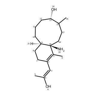 CC1=C(/C=C(\C)O)CC[C@H]2CCC[C@H](O)C(C)CC[C@]12N